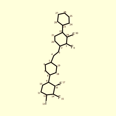 FC1C(CCC2CCC(C3CCC(I)C(F)[C@@H]3F)CC2)CCC(C2CCCCC2)C1F